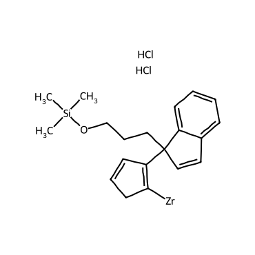 C[Si](C)(C)OCCCC1(C2=[C]([Zr])CC=C2)C=Cc2ccccc21.Cl.Cl